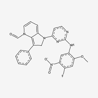 COc1cc(F)c([N+](=O)[O-])cc1Nc1nccc(N2CC(c3ccccc3)=C3C2=CC=CN3C=O)n1